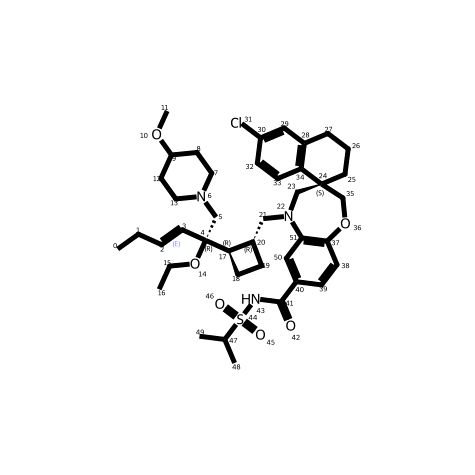 CC/C=C/[C@](CN1CCC(OC)CC1)(OCC)[C@@H]1CC[C@H]1CN1C[C@@]2(CCCc3cc(Cl)ccc32)COc2ccc(C(=O)NS(=O)(=O)C(C)C)cc21